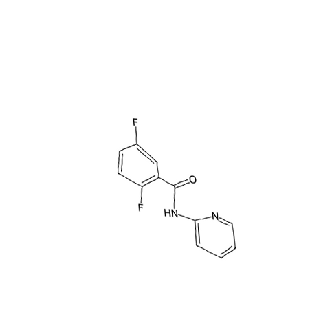 O=C(Nc1ccccn1)c1cc(F)ccc1F